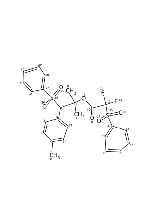 Cc1ccc(C(C(C)(C)OC(=O)C(F)(F)S(=O)(=O)c2ccccc2)S(=O)(=O)c2ccccc2)cc1